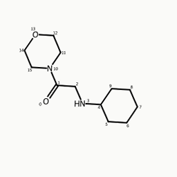 O=C(CNC1CCCCC1)N1CCOCC1